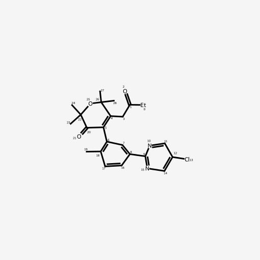 CCC(=O)CC1=C(c2cc(-c3ncc(Cl)cn3)ccc2C)C(=O)C(C)(C)OC1(C)C